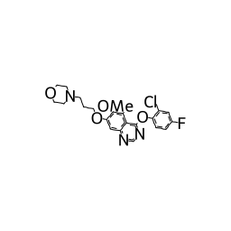 COc1cc(OCCCN2CCOCC2)cc2ncnc(Oc3ccc(F)cc3Cl)c12